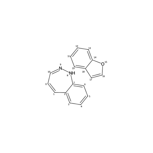 C1=Cc2ccccc2NN=C1.c1ccc2occc2c1